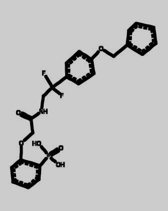 O=C(COc1ccccc1P(=O)(O)O)NCC(F)(F)c1ccc(OCc2ccccc2)cc1